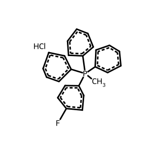 CP(c1ccccc1)(c1ccccc1)(c1ccccc1)c1ccc(F)cc1.Cl